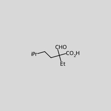 CCC(C=O)(CCC(C)C)C(=O)O